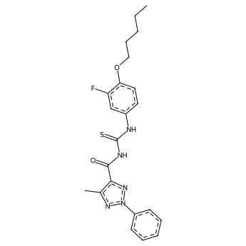 CCCCCOc1ccc(NC(=S)NC(=O)c2nn(-c3ccccc3)nc2C)cc1F